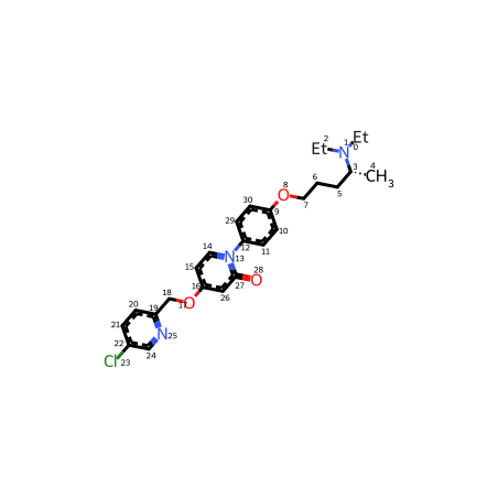 CCN(CC)[C@H](C)CCCOc1ccc(-n2ccc(OCc3ccc(Cl)cn3)cc2=O)cc1